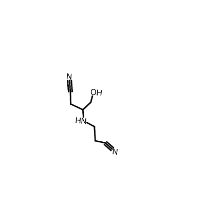 N#CCCNC(CO)CC#N